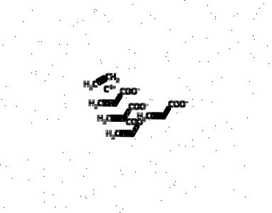 C=C.C=CC(=O)[O-].C=CC(=O)[O-].C=CC(=O)[O-].C=CC(=O)[O-].[C+4]